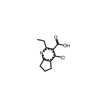 CCc1nc2c(c(Cl)c1C(=O)O)CCC2